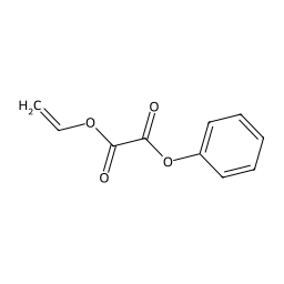 C=COC(=O)C(=O)Oc1ccccc1